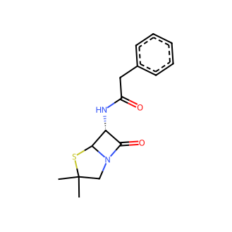 CC1(C)CN2C(=O)[C@@H](NC(=O)Cc3ccccc3)C2S1